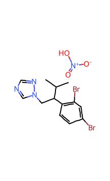 CC(C)C(Cn1cncn1)c1ccc(Br)cc1Br.O=[N+]([O-])O